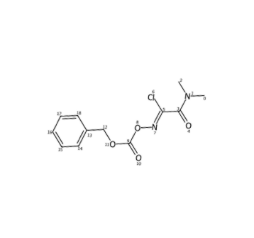 CN(C)C(=O)C(Cl)=NOC(=O)OCc1ccccc1